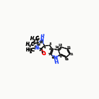 CN1C(=O)C(Cc2c[nH]c3ccccc23)NC1(C)C